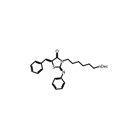 CCCCCCCCCCCCCCCCN1C(=O)C(=Cc2ccccc2)SC1=Nc1ccccc1